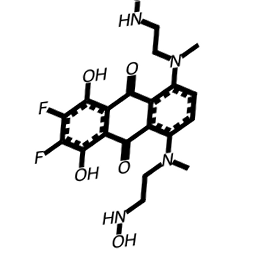 CN(CCNO)c1ccc(N(C)CCNO)c2c1C(=O)c1c(O)c(F)c(F)c(O)c1C2=O